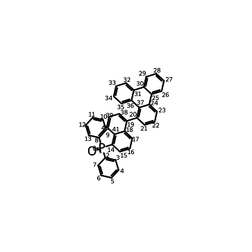 O=P(c1ccccc1)(c1ccccc1)c1cccc2c(-c3cccc4c5ccccc5c5ccccc5c34)cccc12